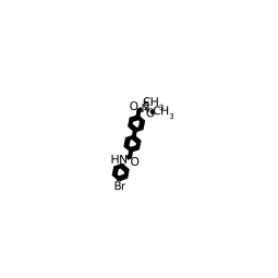 CON(C)C(=O)c1ccc(-c2ccc(C(=O)Nc3ccc(Br)cc3)cc2)cc1